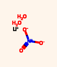 O.O.O=[N+]([O-])[O-].[Li+]